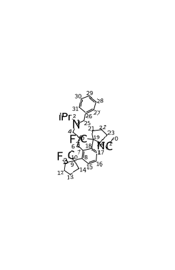 CC#N.CC(C)N(CCCc1c(C2(C(F)(F)F)CCCC2)cccc1C1(C(F)(F)F)CCCC1)Cc1ccccc1